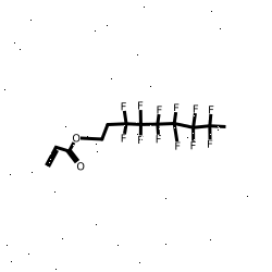 C=CC(=O)OCCC(F)(F)C(F)(F)C(F)(F)C(F)(F)C(F)(F)C(C)(F)F